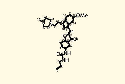 C=CCNC(=O)Nc1ccc2c(c1)C(=O)/C(=C/c1cn(CCN3CCN(C)CC3)c3ccc(OC)cc13)O2